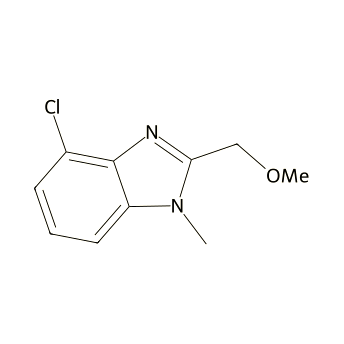 COCc1nc2c(Cl)cccc2n1C